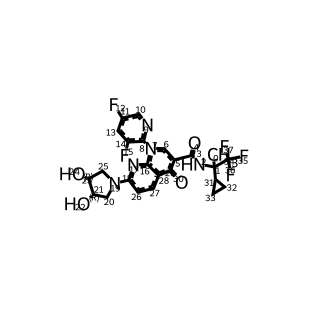 CC(NC(=O)c1cn(-c2ncc(F)cc2F)c2nc(N3C[C@@H](O)[C@H](O)C3)ccc2c1=O)(C1CC1)C(F)(F)F